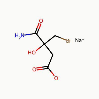 NC(=O)C(O)(CBr)CC(=O)[O-].[Na+]